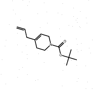 C=CCC1=CCN(C(=O)OC(C)(C)C)CC1